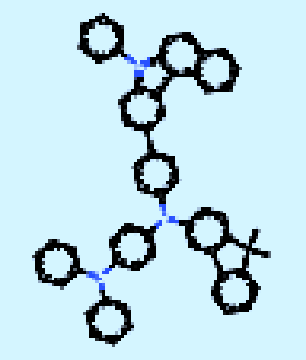 CC1(C)c2ccccc2-c2cc(N(c3ccc(-c4ccc5c(c4)c4c6ccccc6ccc4n5-c4ccccc4)cc3)c3ccc(N(c4ccccc4)c4ccccc4)cc3)ccc21